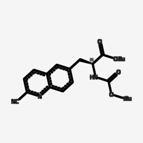 CC(C)COC(=O)[C@H](Cc1ccc2nc(C#N)ccc2c1)NC(=O)OC(C)(C)C